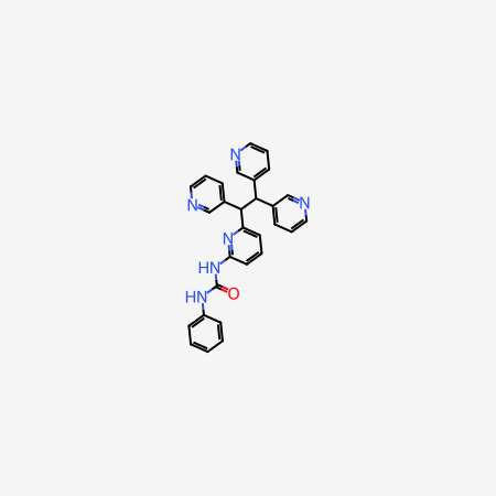 O=C(Nc1ccccc1)Nc1cccc(C(c2cccnc2)C(c2cccnc2)c2cccnc2)n1